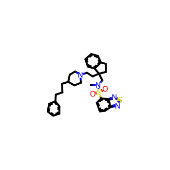 CN(CC1(CCN2CCC(CCCc3ccccc3)CC2)CCc2ccccc21)S(=O)(=O)c1cccc2nsnc12